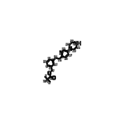 CC(C)(C)C(=O)OCc1cccc(CCc2ccc(N3CCNCC3)cn2)c1